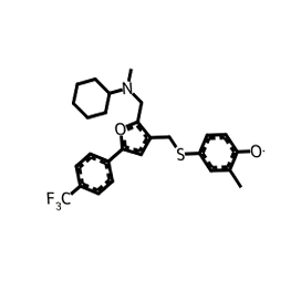 Cc1cc(SCc2cc(-c3ccc(C(F)(F)F)cc3)oc2CN(C)C2CCCCC2)ccc1[O]